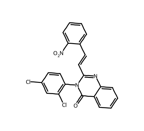 O=c1c2ccccc2nc(C=Cc2ccccc2[N+](=O)[O-])n1-c1ccc(Cl)cc1Cl